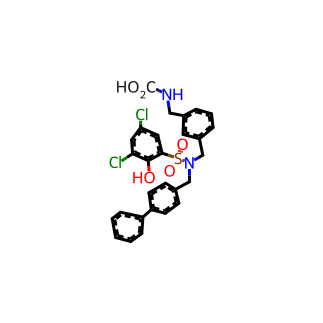 O=C(O)NCc1cccc(CN(Cc2ccc(-c3ccccc3)cc2)S(=O)(=O)c2cc(Cl)cc(Cl)c2O)c1